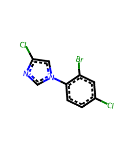 Clc1ccc(-n2cnc(Cl)c2)c(Br)c1